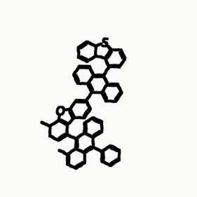 Cc1cccc2c(-c3ccccc3)c3ccccc3c(C3=CCC(C)c4oc5cc(-c6c7ccccc7c(-c7cccc8c7C7C=CC=CC7S8)c7ccccc67)ccc5c43)c12